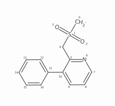 [CH2]S(=O)(=O)Cc1ncccc1-c1ccccc1